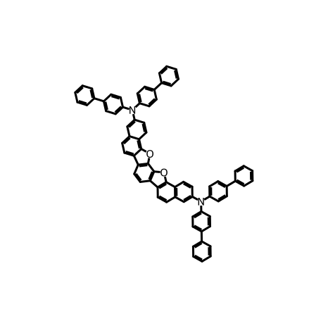 c1ccc(-c2ccc(N(c3ccc(-c4ccccc4)cc3)c3ccc4c(ccc5c6ccc7c8ccc9cc(N(c%10ccc(-c%11ccccc%11)cc%10)c%10ccc(-c%11ccccc%11)cc%10)ccc9c8oc7c6oc45)c3)cc2)cc1